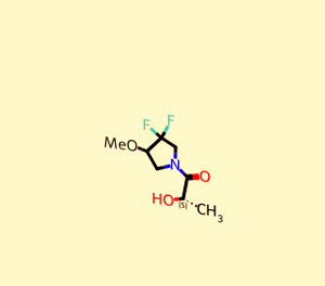 COC1CN(C(=O)[C@H](C)O)CC1(F)F